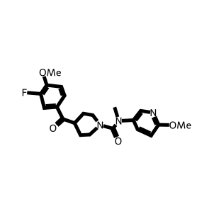 COc1ccc(N(C)C(=O)N2CCC(C(=O)c3ccc(OC)c(F)c3)CC2)cn1